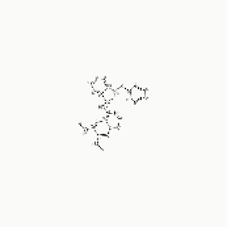 COc1cc2ncnc(NC3CN(Cc4ccccc4)c4ccccc43)c2cc1OC